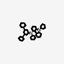 c1ccc(-c2cc(-c3ccccc3)cc(N(c3ccccc3)c3cccc4c3c3ccccc3n4-c3ccccc3)c2)cc1